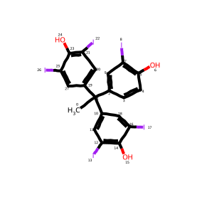 CC(c1ccc(O)c(I)c1)(c1cc(I)c(O)c(I)c1)c1cc(I)c(O)c(I)c1